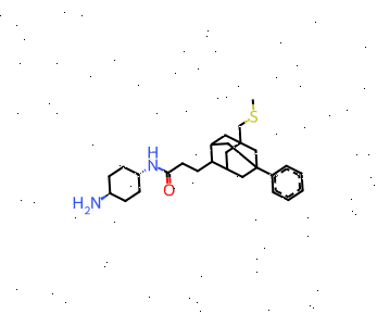 CSCC12CC3CC(c4ccccc4)(CC(C1)C3CCC(=O)N[C@H]1CC[C@H](N)CC1)C2